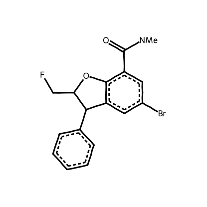 CNC(=O)c1cc(Br)cc2c1OC(CF)C2c1ccccc1